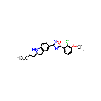 O=C(O)CCC1Cc2cc(-c3noc(-c4cccc(OC(F)(F)F)c4Cl)n3)ccc2N1